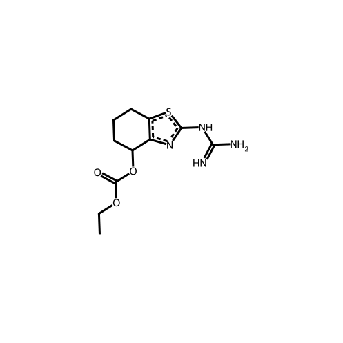 CCOC(=O)OC1CCCc2sc(NC(=N)N)nc21